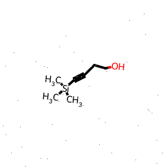 C[Si](C)(C)C#CCCO